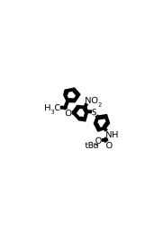 CC(Oc1ccc(Sc2ccc(NC(=O)OC(C)(C)C)cc2)c([N+](=O)[O-])c1)c1ccccc1